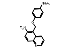 CC(=O)Nc1ccc(OCc2c([N+](=O)[O-])ccc3ncccc23)cc1